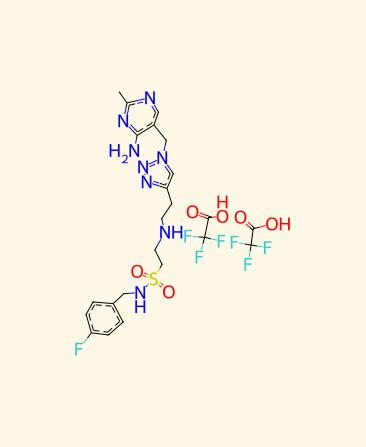 Cc1ncc(Cn2cc(CCNCCS(=O)(=O)NCc3ccc(F)cc3)nn2)c(N)n1.O=C(O)C(F)(F)F.O=C(O)C(F)(F)F